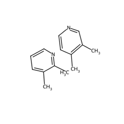 Cc1cccnc1C.Cc1ccncc1C